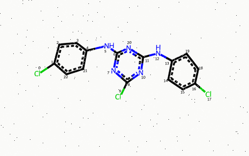 Clc1ccc(Nc2nc(Cl)nc(Nc3ccc(Cl)cc3)n2)cc1